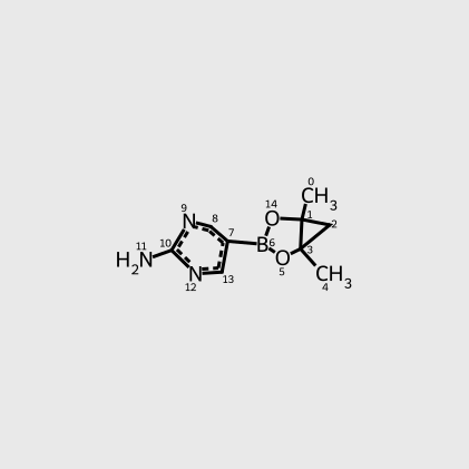 CC12CC1(C)OB(c1cnc(N)nc1)O2